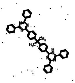 CC(C)(c1ccc(-c2nc(-c3ccccc3)nc(-c3ccccc3)n2)cc1)c1ccc(C2N=C(c3ccccc3)N=C(c3ccccc3)N2)cc1